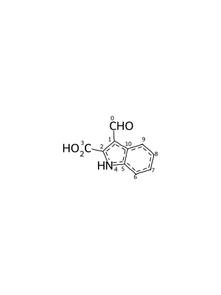 O=Cc1c(C(=O)O)[nH]c2ccccc12